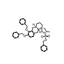 CCC[N@+]1(COP(=O)([O-])OCc2ccccc2)CCC[C@@H]2Cc3c(ccc(OCc4ccccc4)c3OCc3ccccc3)C[C@H]21